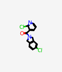 O=C(c1cccnc1Cl)N1Cc2ccc(Cl)cc2C1